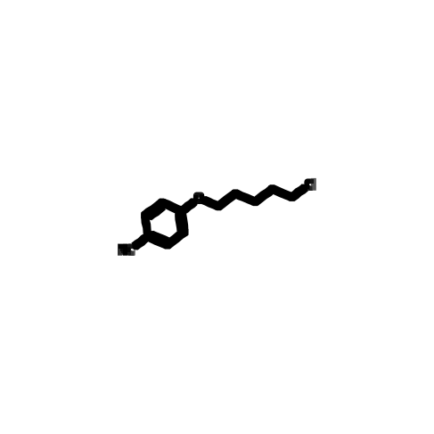 N#Cc1ccc(OCCCCCCl)cc1